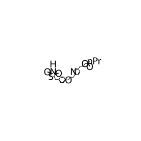 CCCC(=O)OCCc1ccc(CCOc2ccc(CC3SC(=O)NC3=O)cc2)nc1